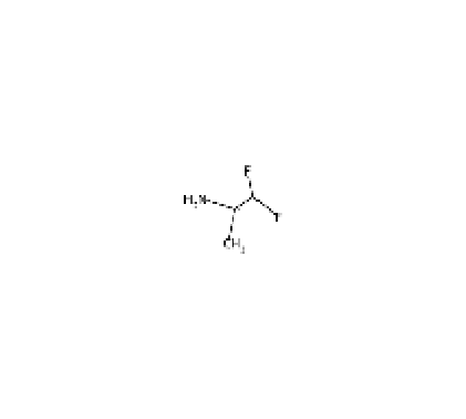 C[C](N)C(F)F